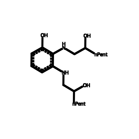 CCCCCC(O)CNc1cccc(O)c1NCC(O)CCCCC